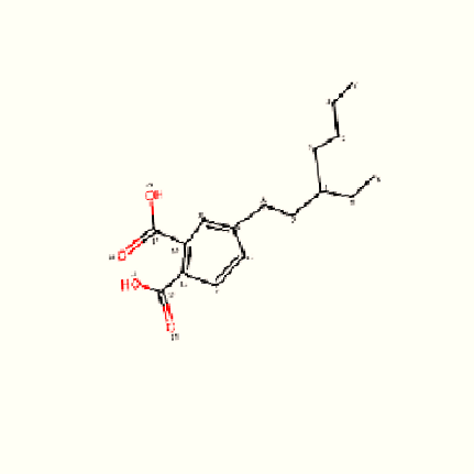 CCCCC(CC)C[CH]c1ccc(C(=O)O)c(C(=O)O)c1